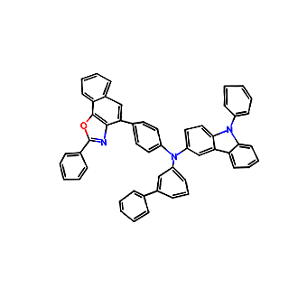 c1ccc(-c2cccc(N(c3ccc(-c4cc5ccccc5c5oc(-c6ccccc6)nc45)cc3)c3ccc4c(c3)c3ccccc3n4-c3ccccc3)c2)cc1